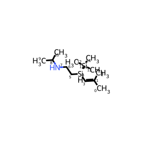 CC(C)=C[SiH](CCNC(C)C)[Si](C)(C)C